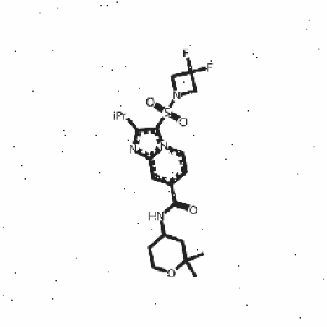 CC(C)c1nc2cc(C(=O)NC3CCOC(C)(C)C3)ccn2c1S(=O)(=O)N1CC(F)(F)C1